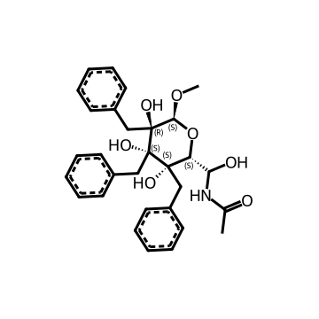 CO[C@H]1O[C@H](C(O)NC(C)=O)[C@@](O)(Cc2ccccc2)[C@@](O)(Cc2ccccc2)[C@]1(O)Cc1ccccc1